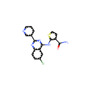 NC(=O)c1ccsc1Nc1nc(-c2cccnc2)nc2ccc(Cl)cc12